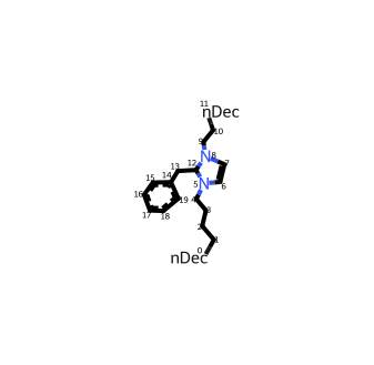 CCCCCCCCCCCCCCN1C=CN(CCCCCCCCCCCC)C1Cc1ccccc1